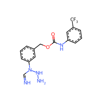 N=CN(NN)c1cccc(COC(=O)Nc2cccc(C(F)(F)F)c2)c1